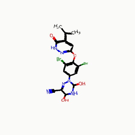 CC(C)c1cc(Oc2c(Br)cc(N3N=C(C#N)C(O)NC3O)cc2Br)n[nH]c1=O